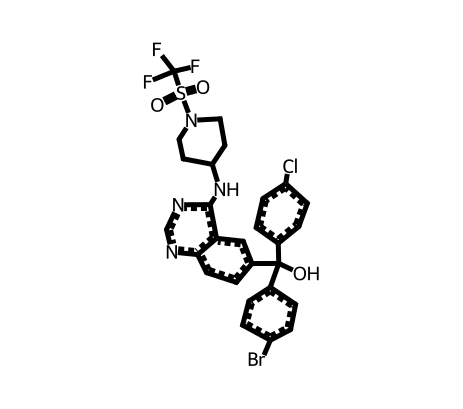 O=S(=O)(N1CCC(Nc2ncnc3ccc(C(O)(c4ccc(Cl)cc4)c4ccc(Br)cc4)cc23)CC1)C(F)(F)F